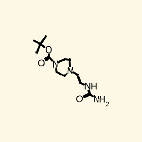 CC(C)(C)OC(=O)N1CCN(CCNC(N)=O)CC1